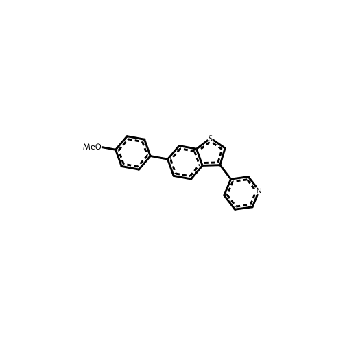 COc1ccc(-c2ccc3c(-c4cccnc4)csc3c2)cc1